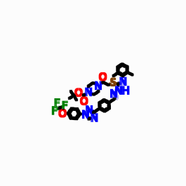 Cc1cccc(C)c1/N=C(/N/N=C/c1ccc(-c2ncn(-c3ccc(OC(F)(F)F)cc3)n2)cc1)SCC(=O)N1CCN(C(=O)OC(C)(C)C)CC1